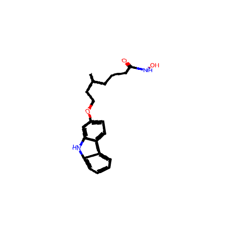 CC(CCCC(=O)NO)CCOc1ccc2c(c1)[nH]c1ccccc12